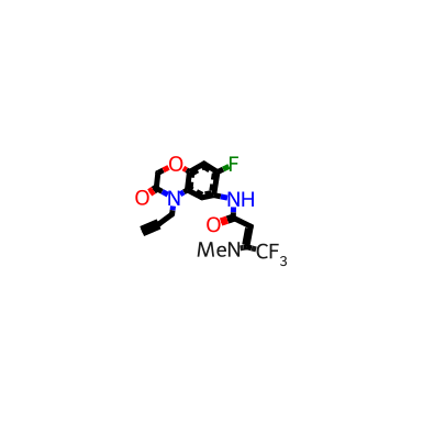 C#CCN1C(=O)COc2cc(F)c(NC(=O)/C=C(\NC)C(F)(F)F)cc21